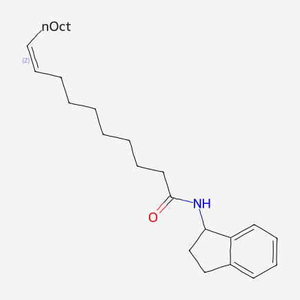 CCCCCCCC/C=C\CCCCCCCC(=O)NC1CCc2ccccc21